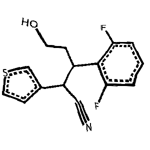 N#CC(c1ccsc1)C(CCO)c1c(F)cccc1F